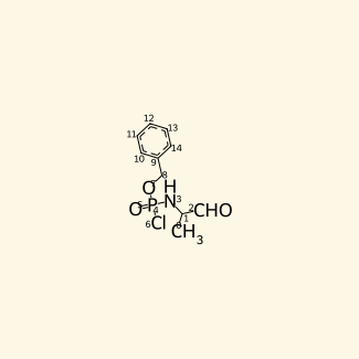 CC(C=O)NP(=O)(Cl)OCc1ccccc1